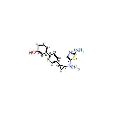 CN(c1cnc(N)s1)C1CC1c1ccc(-c2cccc(O)c2)nc1